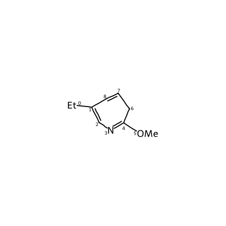 CCC1=CN=C(OC)CC=C1